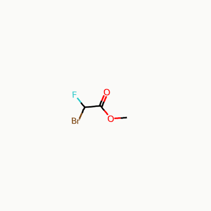 COC(=O)C(F)Br